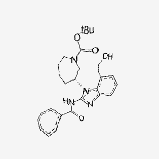 CC(C)(C)OC(=O)N1CCCC[C@@H](n2c(NC(=O)c3ccccc3)nc3cccc(CO)c32)C1